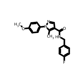 COc1ccc(-n2ncc(C(=O)NCc3ccc(F)cc3)c2C)cc1